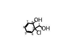 OCC1(Cl)C=CC=CC1O